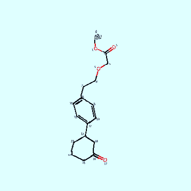 CC(C)(C)OC(=O)COCCc1ccc(C2CCCC(=O)C2)cc1